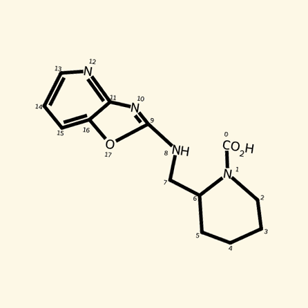 O=C(O)N1CCCCC1CNc1nc2ncccc2o1